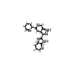 c1ccc(-c2cc3c(-c4nc5cccnc5[nH]4)n[nH]c3cn2)nc1